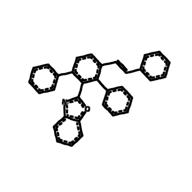 C(=Cc1ccc(-c2ccccc2)c(-c2nc3ccccc3o2)c1-c1ccccc1)c1ccccc1